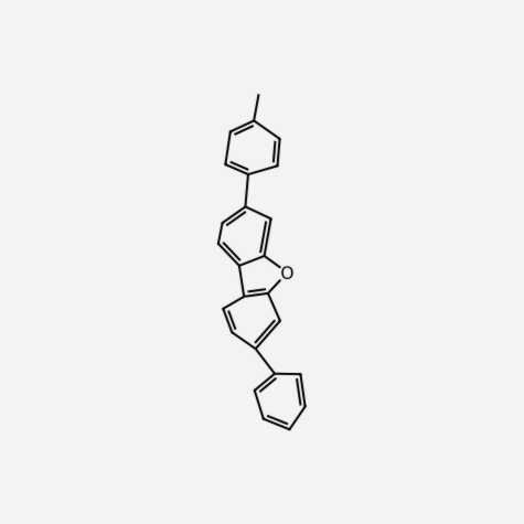 Cc1ccc(-c2ccc3c(c2)oc2cc(-c4ccccc4)ccc23)cc1